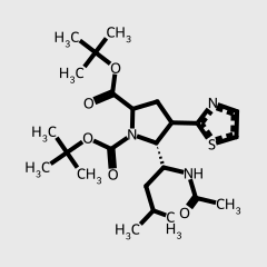 CC(=O)NC(CC(C)C)[C@H]1C(c2nccs2)CC(C(=O)OC(C)(C)C)N1C(=O)OC(C)(C)C